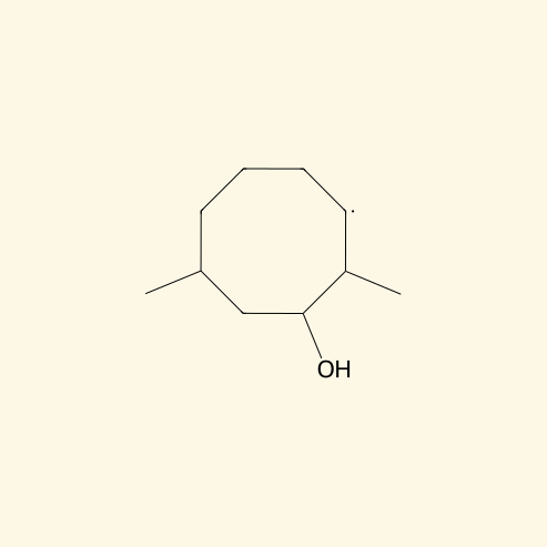 CC1CCC[CH]C(C)C(O)C1